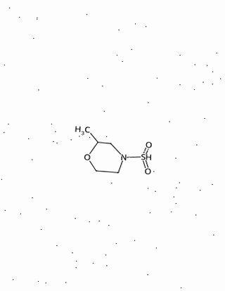 CC1CN([SH](=O)=O)CCO1